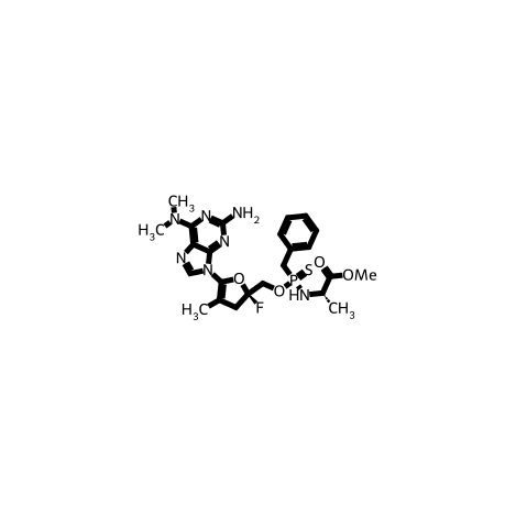 COC(=O)[C@H](C)NP(=S)(Cc1ccccc1)OC[C@]1(F)CC(C)=C(n2cnc3c(N(C)C)nc(N)nc32)O1